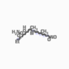 CC/C=C/[C@H](CCCC(O)CC[C@H](C)/C(Br)=C/C=C/C=C(C)/C=C/C=C/C(=O)N=O)OC(N)=O